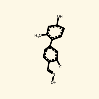 Cc1cc(O)ccc1-c1ccc(/C=N/O)c(Cl)c1